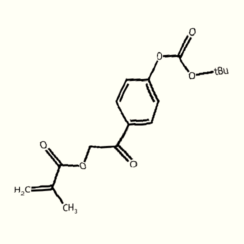 C=C(C)C(=O)OCC(=O)c1ccc(OC(=O)OC(C)(C)C)cc1